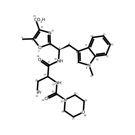 Cc1oc([C@@H](Cc2cn(C)c3ccccc23)NC(=O)C(CC(C)C)NC(=O)N2CCOCC2)nc1C(=O)O